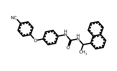 CC(NC(=O)Nc1ccc(Oc2ccc(C#N)cc2)cc1)c1cccc2ccccc12